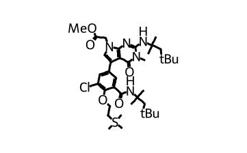 COC(=O)Cn1cc(-c2cc(Cl)c(OCCS(C)(C)C)c(C(=O)NC(C)(C)CC(C)(C)C)c2)c2c(=O)n(C)c(NC(C)(C)CC(C)(C)C)nc21